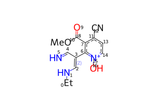 CCN/C=C(\C=N)c1c(C(=O)OC)c(C#N)cc[n+]1O